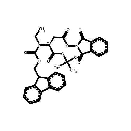 CCN(C(=O)OCC1c2ccccc2-c2ccccc21)[C@@H](CC(=O)ON1C(=O)c2ccccc2C1=O)C(=O)OC(C)(C)C